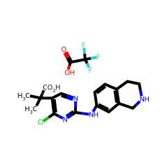 CC(C)(C(=O)O)c1cnc(Nc2ccc3c(c2)CNCC3)nc1Cl.O=C(O)C(F)(F)F